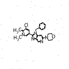 C=C1C(Cl)=CC(c2nc3cnc(N4CCOCC4)cc3n2Cc2ccccc2)=CN1C